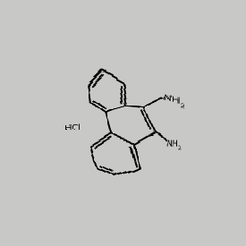 Cl.Nc1c(N)c2ccccc2c2ccccc12